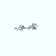 C=C(C)C(=O)OCCCCOc1ccc2c(C)cc(=O)oc2c1